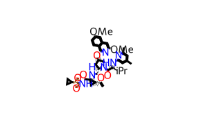 C=C[C@@H]1C[C@]1(NC(=O)[C@@H]1C[C@@H](Oc2nc(OC)cc3cc(OC)ccc23)CN1C(=O)[C@@H](Nc1cc(C)cc(C)n1)C(C)C)C(=O)NS(=O)(=O)C1CC1